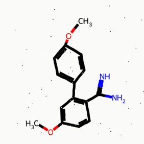 COc1ccc(-c2cc(OC)ccc2C(=N)N)cc1